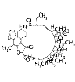 CC/C1=C/C=C/[C@H](C)[C@H](OC)[C@@H](CC)[C@@H](O)[C@@H](C)[C@H](OC)[C@H](C)[C@@H](C)/C=C/O[C@@]2(C)Oc3c(C)c(OC)c4c(c3C2=O)CCC(C4)NC1=O